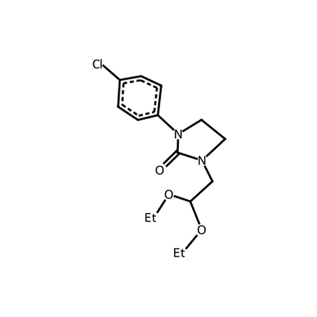 CCOC(CN1CCN(c2ccc(Cl)cc2)C1=O)OCC